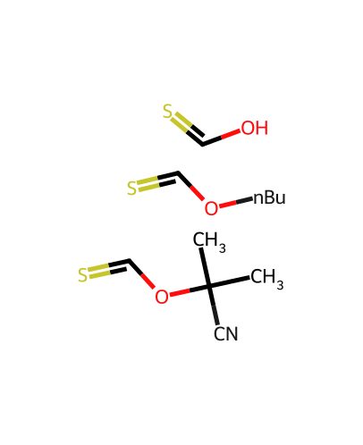 CC(C)(C#N)OC=S.CCCCOC=S.OC=S